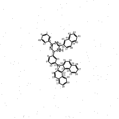 c1ccc(C2=NC(c3cccc(-n4c5ccc6ccccc6c5c5c6ccccc6ccc54)c3)NC(c3ccc4ccccc4c3)=N2)cc1